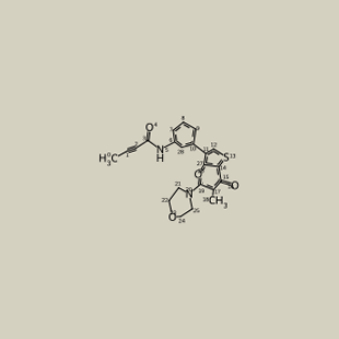 CC#CC(=O)Nc1cccc(-c2csc3c(=O)c(C)c(N4CCOCC4)oc23)c1